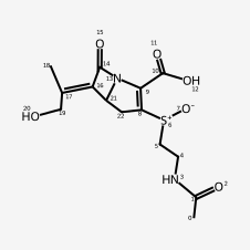 CC(=O)NCC[S+]([O-])C1=C(C(=O)O)N2C(=O)C(=C(C)CO)C2C1